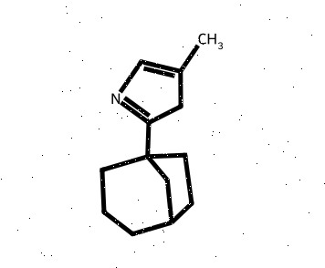 CC1=CN=C(C23CCCC(CC2)C3)C1